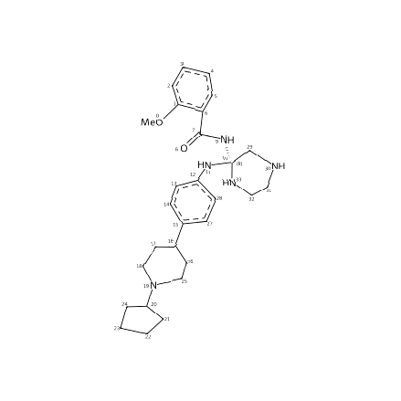 COc1ccccc1C(=O)N[C@]1(Nc2ccc(C3CCN(C4CCCC4)CC3)cc2)CNCCN1